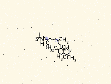 C=C1CCC2C(C)(C)CCC[C@]2(C)C1CC/C(C)=C\CC/C(C)=N/NC(=S)I